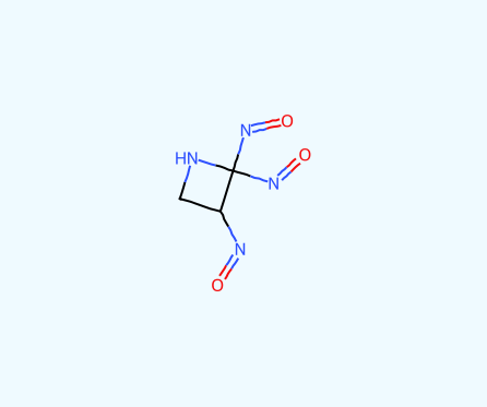 O=NC1CNC1(N=O)N=O